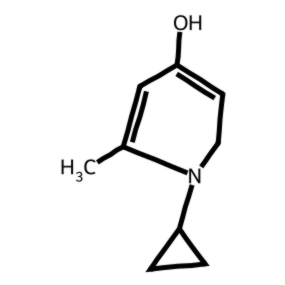 CC1=CC(O)=CCN1C1CC1